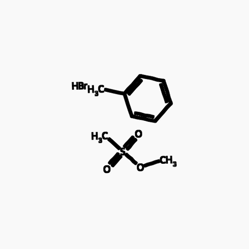 Br.COS(C)(=O)=O.Cc1ccccc1